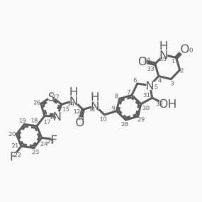 O=C1CCC(N2Cc3cc(CNC(=O)Nc4nc(-c5ccc(F)cc5F)cs4)ccc3C2O)C(=O)N1